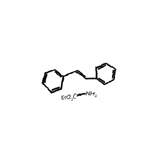 C(=Cc1ccccc1)c1ccccc1.CCOC(N)=O